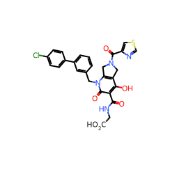 O=C(O)CNC(=O)c1c(O)c2c(n(Cc3cccc(-c4ccc(Cl)cc4)c3)c1=O)CN(C(=O)c1cscn1)C2